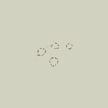 Cc1cnc(Cc2csc(Nc3ncc(Br)cc3Oc3ccccc3)n2)o1